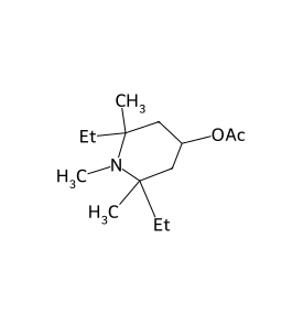 CCC1(C)CC(OC(C)=O)CC(C)(CC)N1C